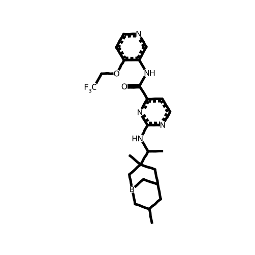 CC1CB2CC(C1)CC(C)(C(C)Nc1nccc(C(=O)Nc3cnccc3OCC(F)(F)F)n1)C2